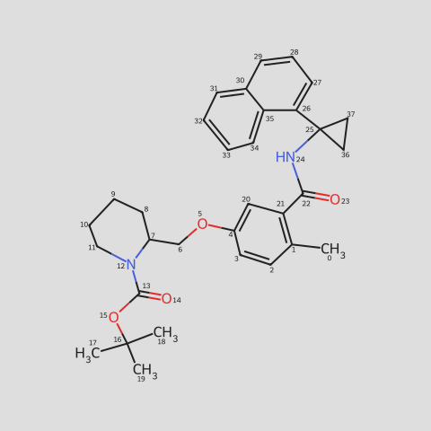 Cc1ccc(OCC2CCCCN2C(=O)OC(C)(C)C)cc1C(=O)NC1(c2cccc3ccccc23)CC1